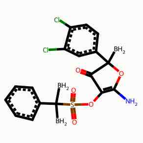 BC1(c2ccc(Cl)c(Cl)c2)OC(N)=C(OS(=O)(=O)C(B)(B)c2ccccc2)C1=O